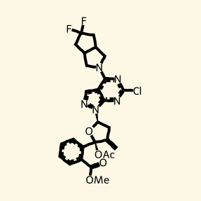 C=C1C[C@H](n2ncc3c(N4CC5CC(F)(F)CC5C4)nc(Cl)nc32)O[C@@]1(OC(C)=O)c1ccccc1C(=O)OC